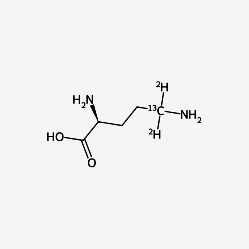 [2H][13C]([2H])(N)CC[C@H](N)C(=O)O